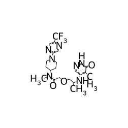 Cc1c(N[C@@H](C)COCC(=O)N(C)C2CCN(c3cnc(C(F)(F)F)cn3)CC2)cn[nH]c1=O